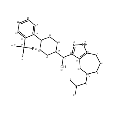 CC(C)CN1CCCc2[nH]nc(C(O)N3CCC(c4ccccc4C(F)(F)F)CC3)c2C1